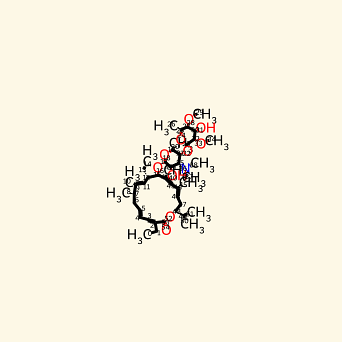 CC/C1=C\C=C\C[C@H](C)/C(C)=C/[C@H](CC)[C@@H](O[C@@H]2O[C@H](C)[C@@H](O[C@@H]3O[C@H](C)[C@@H](OC)[C@H](O)[C@H]3OC)[C@H](N(C)C)[C@H]2O)/C(C)=C/C(C)=C/C[C@@H](C(C)C)OC1=O